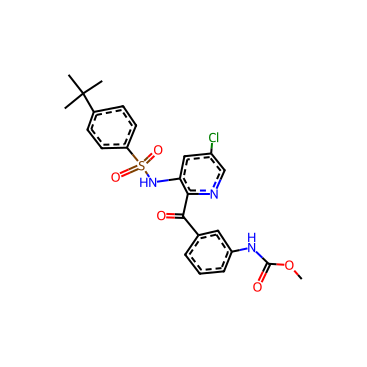 COC(=O)Nc1cccc(C(=O)c2ncc(Cl)cc2NS(=O)(=O)c2ccc(C(C)(C)C)cc2)c1